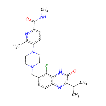 CNC(=O)c1ccc(N2CCN(Cc3ccc4nc(C(C)C)c(=O)[nH]c4c3F)CC2)c(C)n1